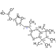 C/C(=C\c1cc(OC(=O)O)no1)c1ccc2c(c1)C(C)(C)C(C)C2(C)C